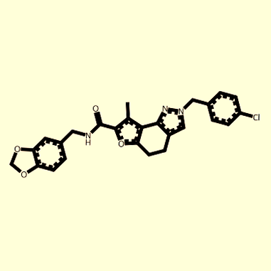 Cc1c(C(=O)NCc2ccc3c(c2)OCO3)oc2c1-c1nn(Cc3ccc(Cl)cc3)cc1CC2